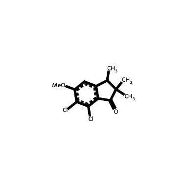 COc1cc2c(c(Cl)c1Cl)C(=O)C(C)(C)C2C